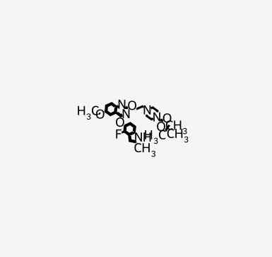 COc1ccc2nc(OCCN3CCN(C(=O)OC(C)(C)C)CC3)nc(Oc3ccc4[nH]c(C)cc4c3F)c2c1